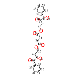 O=C(/C=C/C(=O)OCCC(=O)C(=O)c1ccccc1)OCCC(=O)C(=O)c1ccccc1